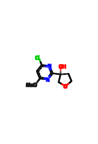 COc1cc(Cl)nc(C2(O)CCOC2)n1